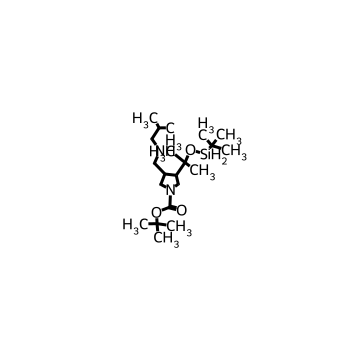 CC(C)CNCC1CN(C(=O)OC(C)(C)C)CC1C(C)(C)O[SiH2]C(C)(C)C